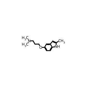 Cc1[c]c2cc(OCCCN(C)C)ccc2[nH]1